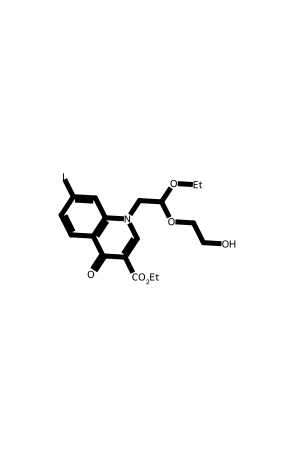 CCOC(=O)c1cn(CC(OCC)OCCO)c2cc(I)ccc2c1=O